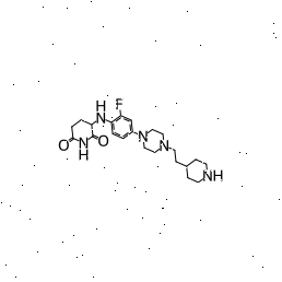 O=C1CCC(Nc2ccc(N3CCN(CCC4CCNCC4)CC3)cc2F)C(=O)N1